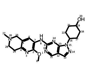 COc1nc2c(cc1Nc1ncc3cnn(C4CCC(O)CC4)c3n1)CN(C)CC2